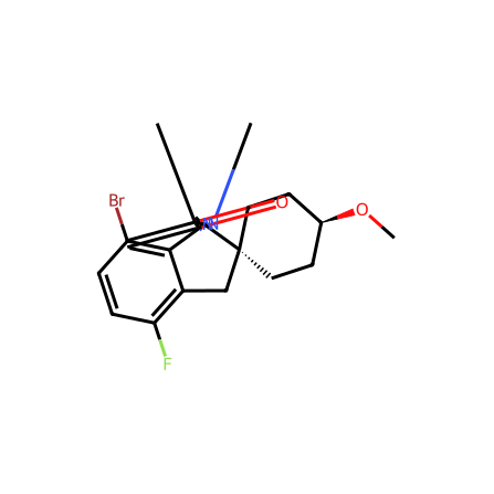 CO[C@H]1CC[C@]2(CC1)Cc1c(F)ccc(Br)c1C21N=C(C)N(C)C1=O